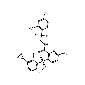 CN=S(=O)(c1cnc(C)nc1C(=O)NCC(F)(F)c1ccc(C)cc1C)c1cccc(C2CC2)c1F